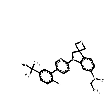 CC[S+]([O-])c1ccc2c(c1)N(c1ncc(-c3cc(C(C)(C)O)ccc3F)cn1)CC21COC1